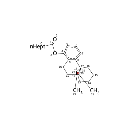 CCCCCCCC(=O)Oc1cccc2c1CCC13CCCCC21CCN(C)C3C